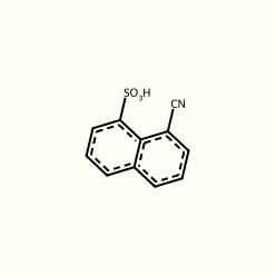 N#Cc1cccc2cccc(S(=O)(=O)O)c12